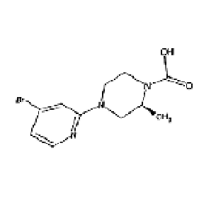 C[C@H]1CN(c2cc(Br)ccn2)CCN1C(=O)O